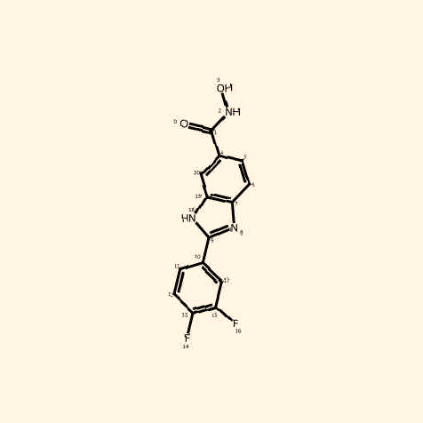 O=C(NO)c1ccc2nc(-c3ccc(F)c(F)c3)[nH]c2c1